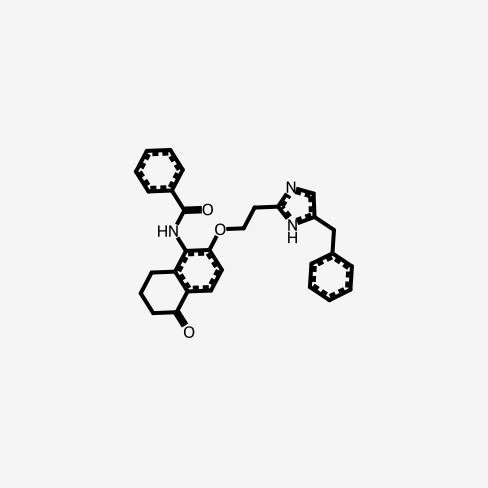 O=C(Nc1c(OCCc2ncc(Cc3ccccc3)[nH]2)ccc2c1CCCC2=O)c1ccccc1